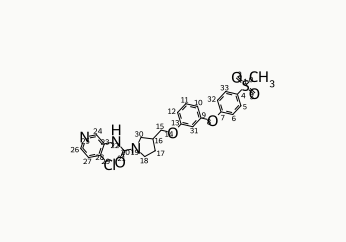 CS(=O)(=O)c1ccc(Oc2cccc(OCC3CCN(C(=O)Nc4cnccc4Cl)C3)c2)cc1